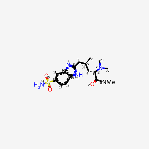 CNC(=O)[C@H](C[C@H](C)Cc1nc2cc(S(N)(=O)=O)ccc2[nH]1)N(C)C